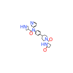 O=C1CC[C@@H](C(=O)N2CCC(c3ccc(N(C(=O)C4CNC4)c4cccnc4)cc3)CC2)N1